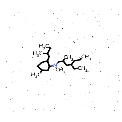 CCCC(CC)CC(C)CN(C)C1CC(C)CCC1CC(C)CC